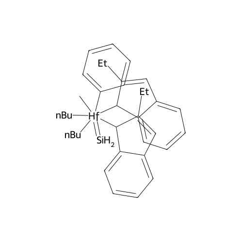 CCC[CH2][Hf]([CH3])(=[SiH2])([CH2]CCC)([c]1ccccc1)([CH]1C(CC)=Cc2ccccc21)[CH]1C(CC)=Cc2ccccc21